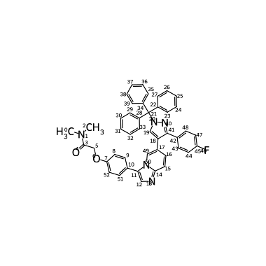 CN(C)C(=O)COc1ccc(-c2cnc3ccc(-c4cn(C(c5ccccc5)(c5ccccc5)c5ccccc5)nc4-c4ccc(F)cc4)cn23)cc1